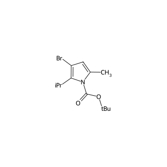 Cc1cc(Br)c(C(C)C)n1C(=O)OC(C)(C)C